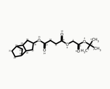 CC(C)(C)OC(=O)COC(=O)CCC(=O)OC1CC2C3CCC(C3)C2C1